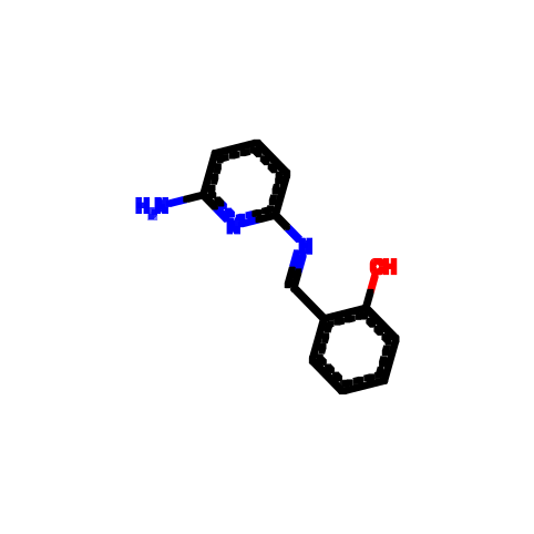 Nc1cccc(N=Cc2ccccc2O)n1